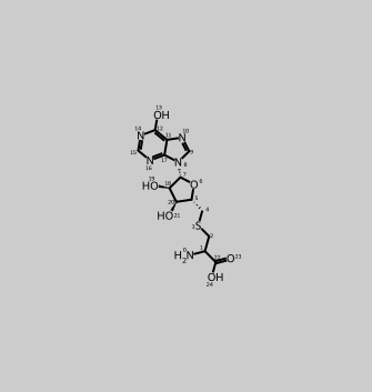 NC(CSC[C@H]1O[C@@H](n2cnc3c(O)ncnc32)[C@H](O)[C@@H]1O)C(=O)O